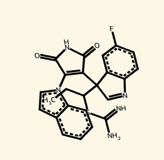 CCC(SC(=N)N)C1(C2=C(n3ccc4ccccc43)C(=O)NC2=O)C=Nc2ccc(F)cc21